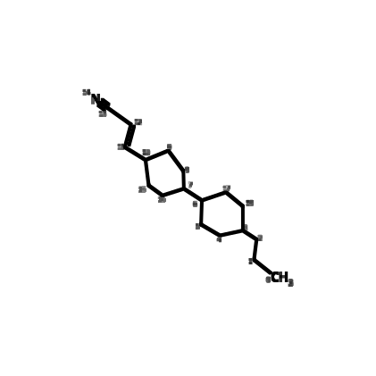 CCCC1CCC(C2CCC(C=CC#N)CC2)CC1